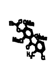 CCC(=O)Oc1c(OC)cc(C)c(C(=O)c2c(OC)ccc(Cl)c2C)c1OC